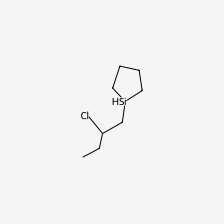 CCC(Cl)C[SiH]1CCCC1